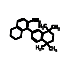 CC1(C)CCC(C)(C)c2cc(-c3c(N)ccc4c3CCCC4)ccc21